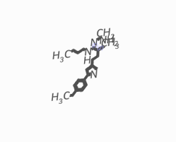 C=C(N)/N=C(NCCCC)\C(=C/C)CCC1=CC(c2ccc(CC)cc2)=NC1